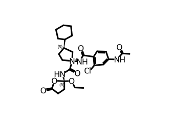 CCO[C@]1(NC(=O)[N+]2(NC(=O)c3ccc(NC(C)=O)cc3Cl)CC[C@@H](C3CCCCC3)C2)CCC(=O)O1